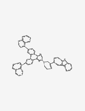 C1=CC(c2cnc3c4ccc(-c5cccc6ccccc56)cc4c4cc(-c5cccc6ccccc56)ccc4c3n2)CC(c2ccc3sc4ccccc4c3c2)=C1